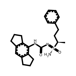 C[C@H](CCc1ccccc1)[S@@](N)(=O)=NC(=O)Nc1c2c(cc3c1CCC3)CCC2